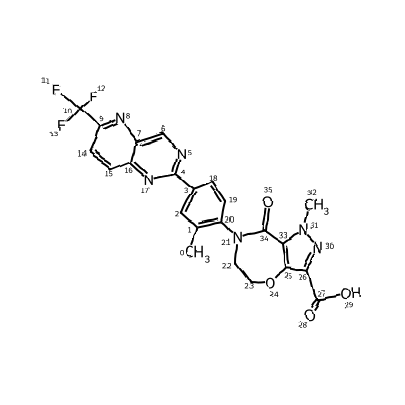 Cc1cc(-c2ncc3nc(C(F)(F)F)ccc3n2)ccc1N1CCOc2c(C(=O)O)nn(C)c2C1=O